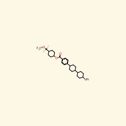 CCCC1CCC(C2CCC(c3ccc(C(=O)OC4CCC(C(F)(F)OC(F)(F)F)CC4)cc3)CC2)CC1